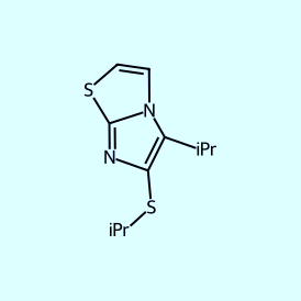 CC(C)Sc1nc2sccn2c1C(C)C